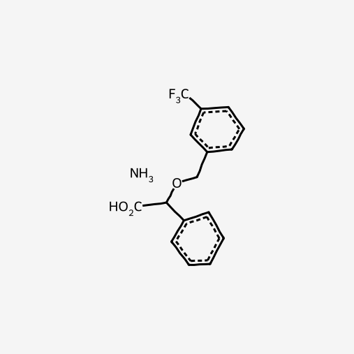 N.O=C(O)C(OCc1cccc(C(F)(F)F)c1)c1ccccc1